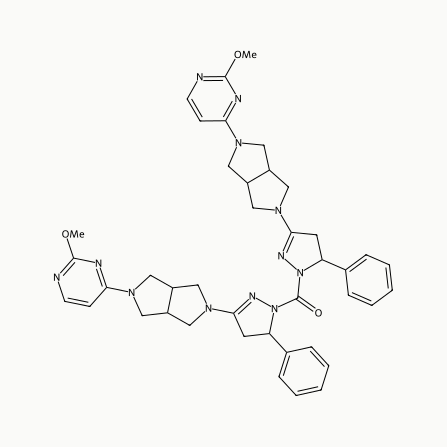 COc1nccc(N2CC3CN(C4=NN(C(=O)N5N=C(N6CC7CN(c8ccnc(OC)n8)CC7C6)CC5c5ccccc5)C(c5ccccc5)C4)CC3C2)n1